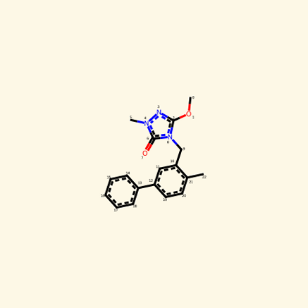 COc1nn(C)c(=O)n1Cc1cc(-c2ccccc2)ccc1C